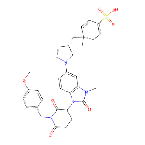 COc1ccc(CN2C(=O)CCC(n3c(=O)n(C)c4cc(N5CC[C@H](CC6(C)C=CC(S(=O)(=O)O)=CC6)C5)ccc43)C2=O)cc1